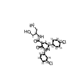 CC(C)CC(CO)NC(=O)c1cc(-c2ccc(Cl)cc2)nn(-c2cccc(Cl)c2)c1=O